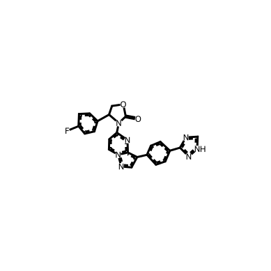 O=C1OCC(c2ccc(F)cc2)N1c1ccn2ncc(-c3ccc(-c4nc[nH]n4)cc3)c2n1